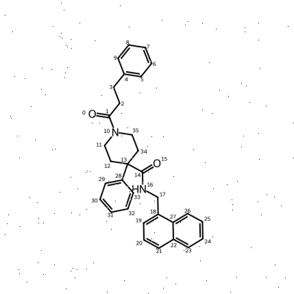 O=C(CCc1ccccc1)N1CCC(C(=O)NCc2cccc3ccccc23)(c2ccccc2)CC1